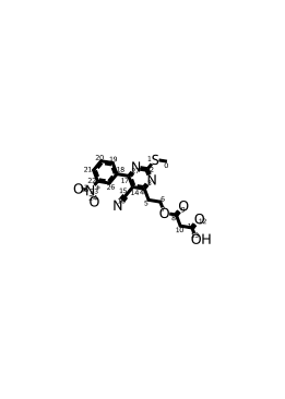 CSc1nc(CCOC(=O)CC(=O)O)c(C#N)c(-c2cccc([N+](=O)[O-])c2)n1